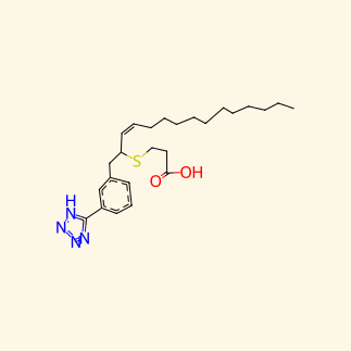 CCCCCCCCCCC/C=C\C(Cc1cccc(-c2nnn[nH]2)c1)SCCC(=O)O